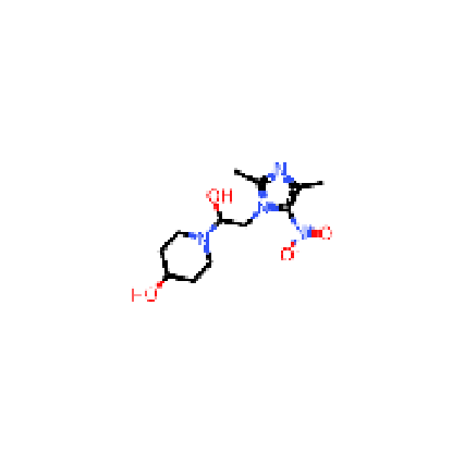 Cc1nc(C)n(CC(O)N2CCC(O)CC2)c1[N+](=O)[O-]